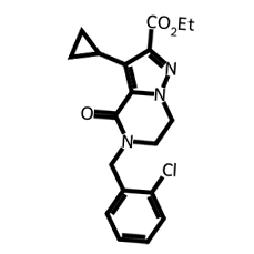 CCOC(=O)c1nn2c(c1C1CC1)C(=O)N(Cc1ccccc1Cl)CC2